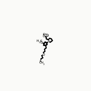 CCCCCOCCCCc1cc(OC)cc(N2CCCCC2CC(=O)OC)c1